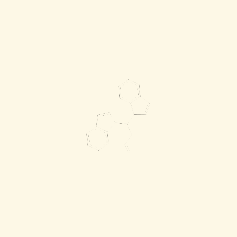 [Zr]=[CH]CC(C1C=Cc2ccccc21)C1C=Cc2ccccc21